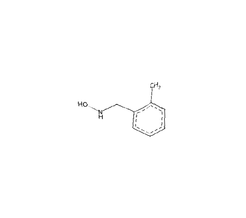 Cc1ccccc1CNO